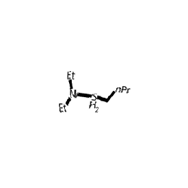 CCCC[SH2]N(CC)CC